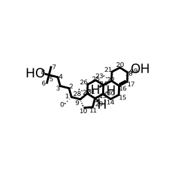 C[C@H](CCCC(C)(C)O)[C@H]1CC[C@H]2[C@@H]3CCC4=C[C@@H](O)CC[C@]4(C)[C@H]3CC[C@]12C